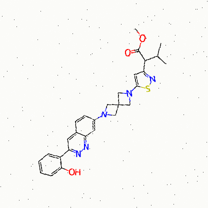 COC(=O)C(c1cc(N2CC3(CN(c4ccc5cc(-c6ccccc6O)nnc5c4)C3)C2)sn1)C(C)C